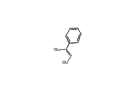 CC(C)(C)[C]=C(c1ccccc1)C(C)(C)C